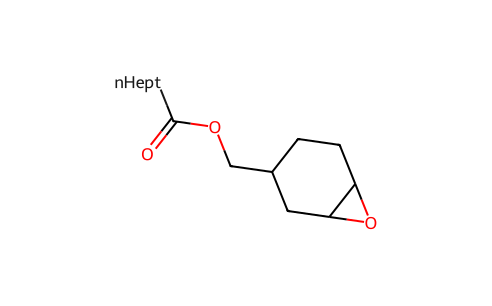 CCCCCCCC(=O)OCC1CCC2OC2C1